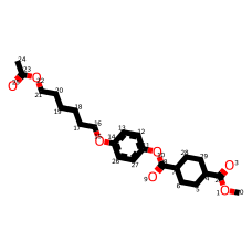 COC(=O)C1CCC(C(=O)Oc2ccc(OCCCCCCOC(C)=O)cc2)CC1